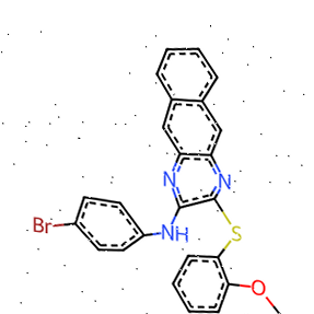 COc1ccccc1Sc1nc2cc3ccccc3cc2nc1Nc1ccc(Br)cc1